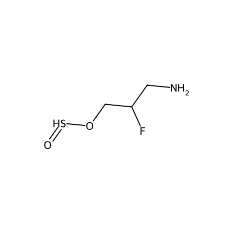 NCC(F)CO[SH]=O